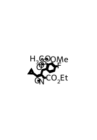 CCOC(=O)c1noc(C2CC2)c1C(=O)c1ccc(F)c(OC)c1S(C)(=O)=O